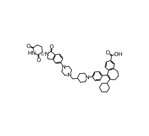 O=C1CC[C@H](N2Cc3cc(N4CCN(CC5CCN(c6ccc(C7=C(C8CCCCC8)CCCc8cc(C(=O)O)ccc87)cc6)CC5)CC4)ccc3C2=O)C(=O)N1